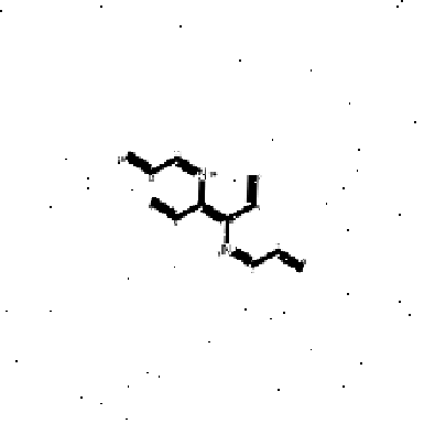 C=C\C=N/C(C=C)=C(C=C)/N=C\C=C